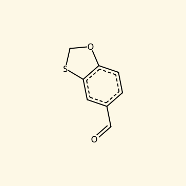 O=Cc1ccc2c(c1)SCO2